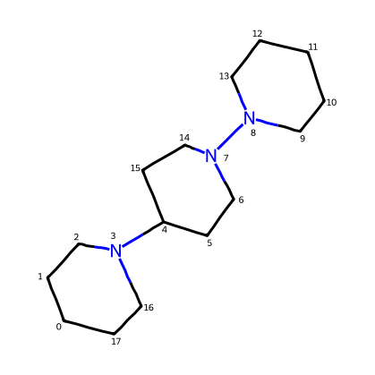 C1CCN(C2CCN(N3CCCCC3)CC2)CC1